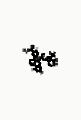 NC(=O)c1cc(-c2cccnc2[C@H](Cc2cc(F)cc(F)c2)NC(=O)Cn2cc(C(F)(F)F)c3c2CCNC3=O)ccc1F